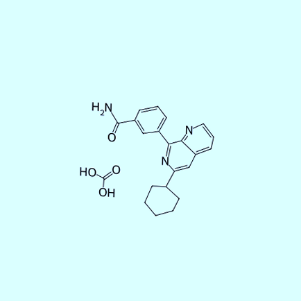 NC(=O)c1cccc(-c2nc(C3CCCCC3)cc3cccnc23)c1.O=C(O)O